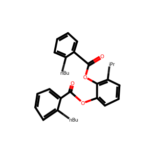 CCCCc1ccccc1C(=O)Oc1cccc(C(C)C)c1OC(=O)c1ccccc1CCCC